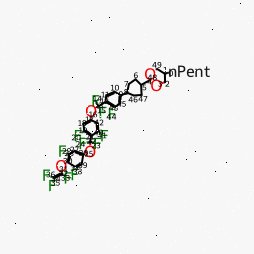 CCCCCC1COC(C2CCC(c3ccc(C(F)(F)Oc4cc(F)c(C(F)(F)Oc5cc(F)c(OC(F)=C(F)F)c(F)c5)c(F)c4)c(F)c3)CC2)OC1